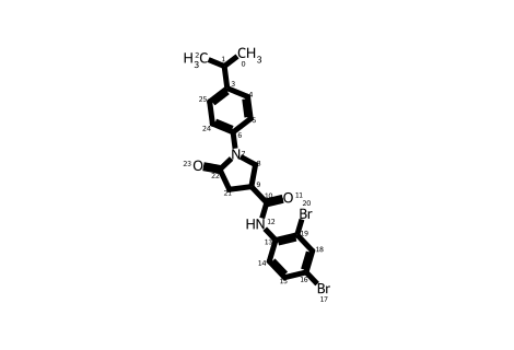 CC(C)c1ccc(N2CC(C(=O)Nc3ccc(Br)cc3Br)CC2=O)cc1